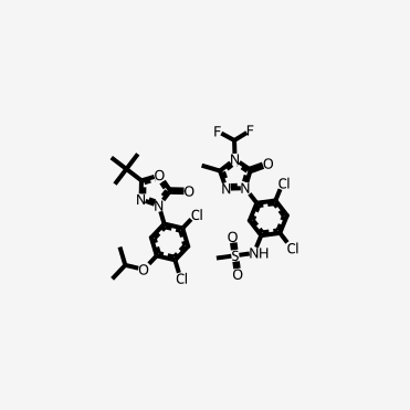 CC(C)Oc1cc(-n2nc(C(C)(C)C)oc2=O)c(Cl)cc1Cl.Cc1nn(-c2cc(NS(C)(=O)=O)c(Cl)cc2Cl)c(=O)n1C(F)F